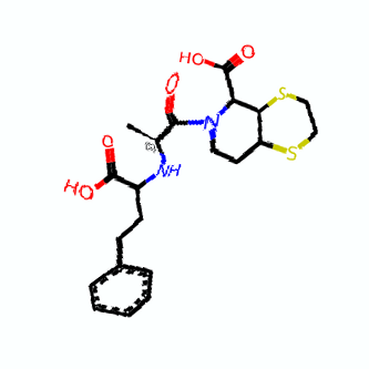 C[C@H](NC(CCc1ccccc1)C(=O)O)C(=O)N1CCC2SCCSC2C1C(=O)O